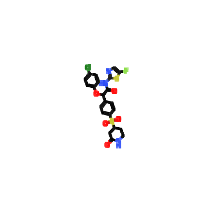 O=C1CC(S(=O)(=O)c2ccc(C(Oc3ccc(Cl)cc3)C(=O)Nc3ncc(F)s3)cc2)CCN1